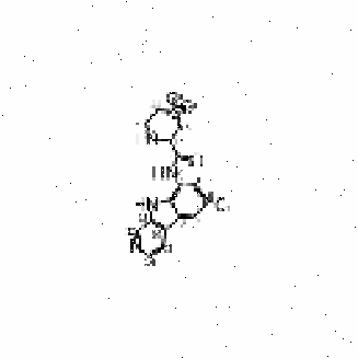 O=C(Nc1cc(Cl)cc2c1[nH]c1cnccc12)C1CS(=O)(=O)CCN1